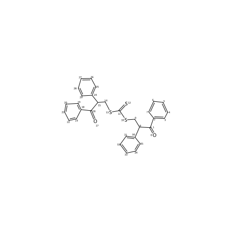 O=C(c1ccccc1)C(CSC(=S)SCC(C(=O)c1ccccc1)c1ccccc1)c1ccccc1